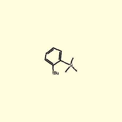 CC(C)(C)c1ccccc1[Si](C)(C)C